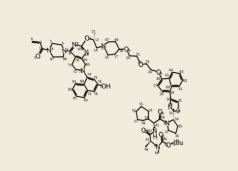 C=CC(=O)N1CCN(c2nc(O[C@H](C)CN3CCC(OCCOCCOc4ccc(-c5csc([C@@H]6CCCN6C(=O)[C@@H](NC(=O)[C@H](C)N(C)C(=O)OC(C)(C)C)C6CCCCC6)n5)c5ccccc45)CC3)nc3c2CCN(c2cc(O)cc4ccccc24)C3)CC1